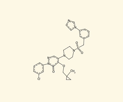 CC1(COc2c(N3CCN(S(=O)(=O)Cc4cccc(-n5ccnc5)c4)CC3)cnn(-c3cccc(Cl)c3)c2=O)CC1